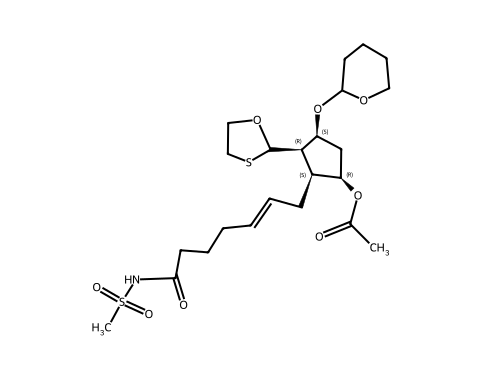 CC(=O)O[C@@H]1C[C@H](OC2CCCCO2)[C@H](C2OCCS2)[C@@H]1CC=CCCCC(=O)NS(C)(=O)=O